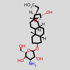 C[C@]12CC[C@H](O[C@@H]3O[C@@H](CO)[C@H](O)[C@@H](N)[C@H]3O)C[C@H]1CC[C@@H]1[C@@H]2CC[C@]2(C)[C@@H]3CC[C@]12O[C@@H](O)[C@H]3CC(=O)O